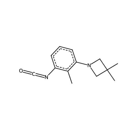 Cc1c(N=C=O)cccc1N1CC(C)(C)C1